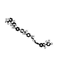 CNC(=O)c1ncccc1Nc1nc(Nc2ccc(N3CCN(C(=O)NC4CCC(NCCOCCC#Cc5ccc6c(c5)CN(C5CCC(=O)NC5=O)C6=O)CC4)CC3)cc2)ncc1Cl